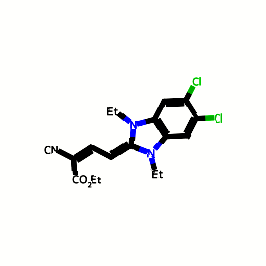 [C-]#[N+]C(=CC=C1N(CC)c2cc(Cl)c(Cl)cc2N1CC)C(=O)OCC